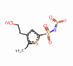 Cc1sc(S(=O)(=O)N=S(=O)=O)cc1CCO